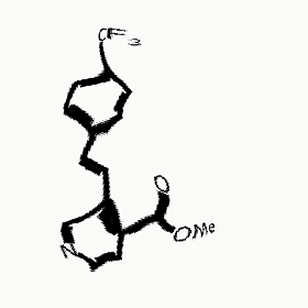 COC(=O)c1ccncc1C=Cc1ccc(C(F)(F)F)cc1